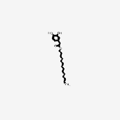 CCCCCCCCCCCCCCOC(=O)Cc1ccc(O)c(O)c1